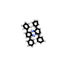 c1ccc(-c2ccc(-c3ccccc3)c3nc4c(-c5ccccc5)ccc(-c5ccccc5)c4nc23)cc1